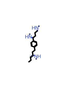 CC/C=C(/CCc1ccc(C(CCCNC)NC)cc1)NC